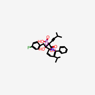 CC(C)C#CC(C(=O)O)([PH](=O)O)C(O)(Cc1ccc(F)cc1)c1ccc(C(C)C)c(-c2ccccc2)n1